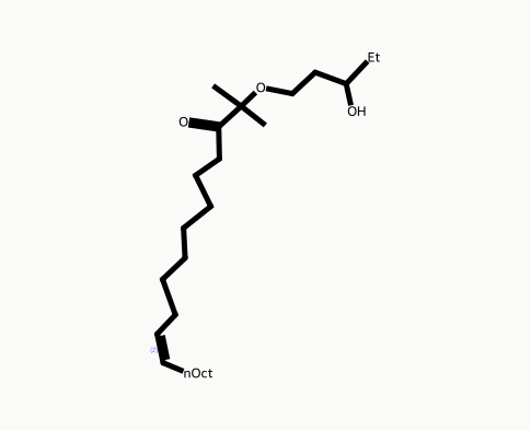 CCCCCCCC/C=C\CCCCCCCC(=O)C(C)(C)OCCC(O)CC